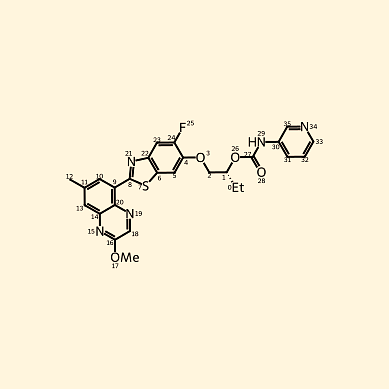 CC[C@H](COc1cc2sc(-c3cc(C)cc4nc(OC)cnc34)nc2cc1F)OC(=O)Nc1cccnc1